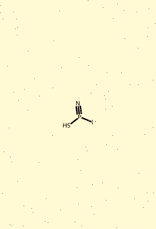 N#P(S)I